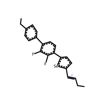 CC/C=C/c1ccc(-c2ccc(-c3ccc(CC)cc3)c(F)c2F)[se]1